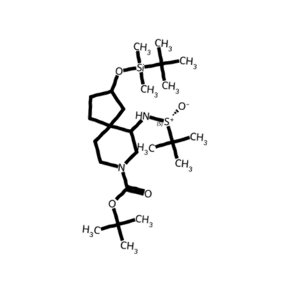 CC(C)(C)OC(=O)N1CCC2(CCC(O[Si](C)(C)C(C)(C)C)C2)C(N[S@+]([O-])C(C)(C)C)C1